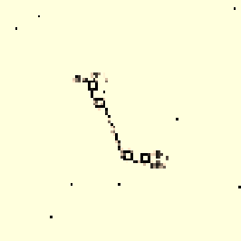 CCCCc1cc(Cc2ccc(CCCCCCCCCCc3ccc(Cc4ccc(N)c(CCCC)c4)cc3)cc2)ccc1N